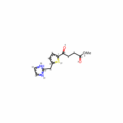 COC(=O)CCC(=O)c1ccc(Cc2ncc[nH]2)s1